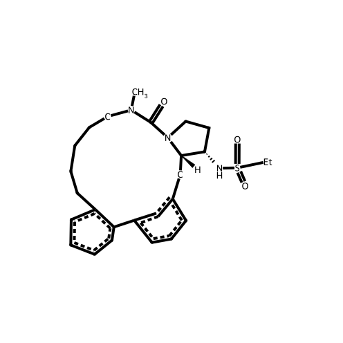 CCS(=O)(=O)N[C@H]1CCN2C(=O)N(C)CCCCCc3ccccc3-c3cccc(c3)C[C@@H]12